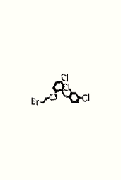 Clc1ccc(Cc2cc(Cl)ccc2OCCBr)c(Cl)c1